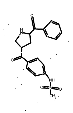 CS(=O)(=O)Nc1ccc(C(=O)C2CNC(C(=O)c3ccccc3)C2)cc1